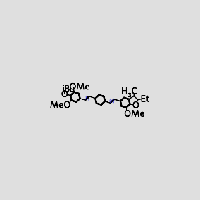 CCC(C)Oc1c(OC)cc(/C=C/c2ccc(/C=C/c3cc(OC)c4c(c3)C(C)C(CC)O4)cc2)cc1OC